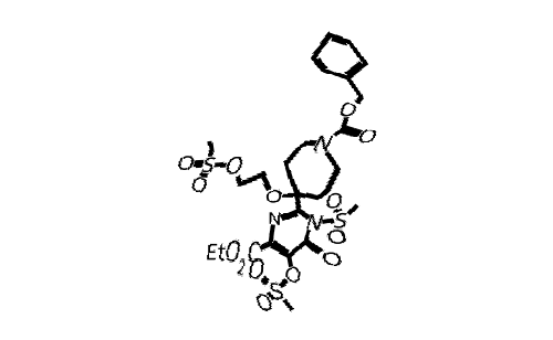 CCOC(=O)c1nc(C2(OCCOS(C)(=O)=O)CCN(C(=O)OCc3ccccc3)CC2)n(S(C)(=O)=O)c(=O)c1OS(C)(=O)=O